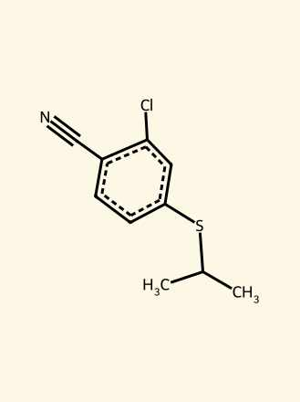 CC(C)Sc1ccc(C#N)c(Cl)c1